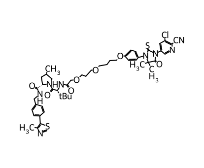 Cc1ncsc1-c1ccc(CNC(=O)[C@@H]2C[C@@H](C)CN2C(=O)[C@@H](NC(=O)COCCCOCCCCOc2ccc(N3C(=S)N(c4cnc(C#N)c(Cl)c4)C(=O)C3(C)C)cc2)C(C)(C)C)cc1